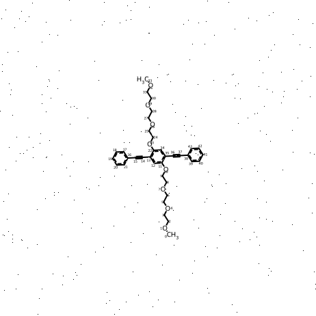 COCCOCCOCCOc1cc(C#Cc2ccccc2)c(OCCOCCOCCOC)cc1C#Cc1ccccc1